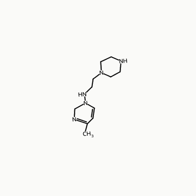 CC1=NCN(NCCN2CCNCC2)C=C1